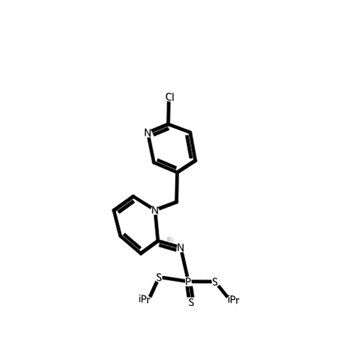 CC(C)SP(=S)(/N=c1\ccccn1Cc1ccc(Cl)nc1)SC(C)C